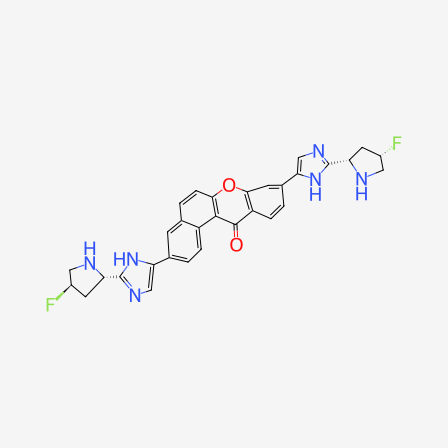 O=c1c2ccc(-c3cnc([C@@H]4C[C@H](F)CN4)[nH]3)cc2oc2ccc3cc(-c4cnc([C@@H]5C[C@@H](F)CN5)[nH]4)ccc3c12